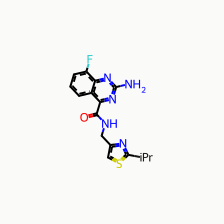 CC(C)c1nc(CNC(=O)c2nc(N)nc3c(F)cccc23)cs1